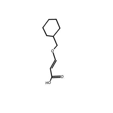 O=C(O)C=COCC1CCCCC1